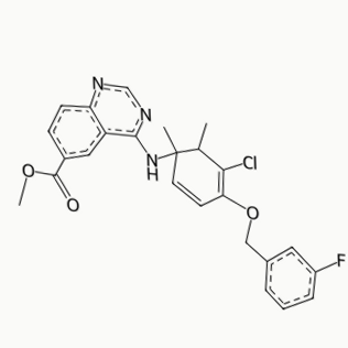 COC(=O)c1ccc2ncnc(NC3(C)C=CC(OCc4cccc(F)c4)=C(Cl)C3C)c2c1